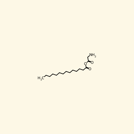 CCCCCCCCCCCCCC(=O)OC(=O)CN